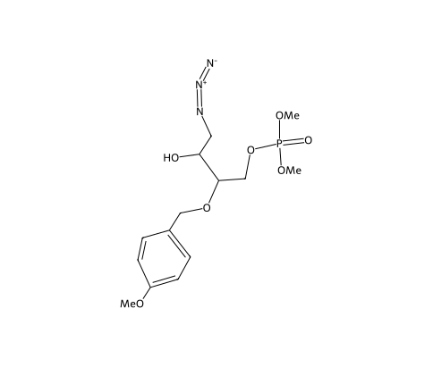 COc1ccc(COC(COP(=O)(OC)OC)C(O)CN=[N+]=[N-])cc1